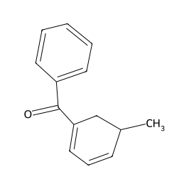 CC1C=CC=C(C(=O)c2ccccc2)C1